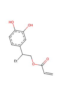 C=CC(=O)OCC(CC)c1ccc(O)c(O)c1